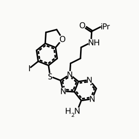 CC(C)C(=O)NCCCn1c(Sc2cc3c(cc2I)CCO3)nc2c(N)ncnc21